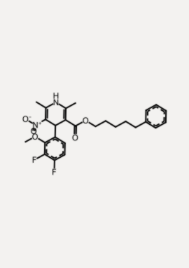 COc1c(C2C(C(=O)OCCCCCc3ccccc3)=C(C)NC(C)=C2[N+](=O)[O-])ccc(F)c1F